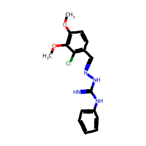 COc1ccc(/C=N/NC(=N)Nc2ccccc2)c(Cl)c1OC